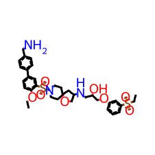 CCOc1ccc(-c2ccc(CN)cc2)cc1S(=O)(=O)N1CCC2(CC1)CC(NCC(O)COc1cccc(S(=O)(=O)CC)c1)CO2